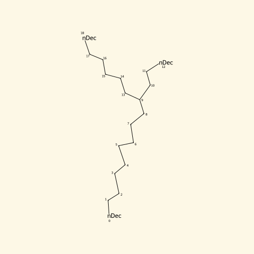 [CH2]CCCCCCCCCCCCCCCCCC(CCCCCCCCCCCC)CCCCCCCCCCCCCCC